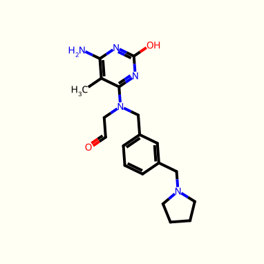 Cc1c(N)nc(O)nc1N(CC=O)Cc1cccc(CN2CCCC2)c1